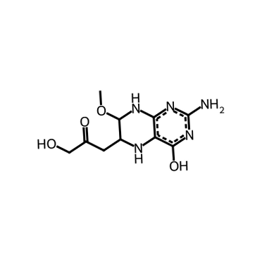 COC1Nc2nc(N)nc(O)c2NC1CC(=O)CO